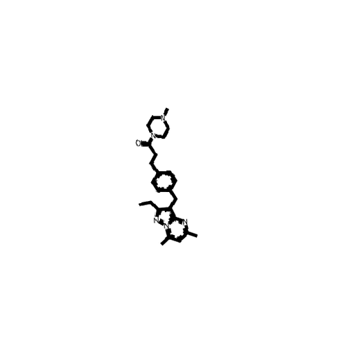 CCc1nn2c(C)cc(C)nc2c1Cc1ccc(CCC(=O)N2CCN(C)CC2)cc1